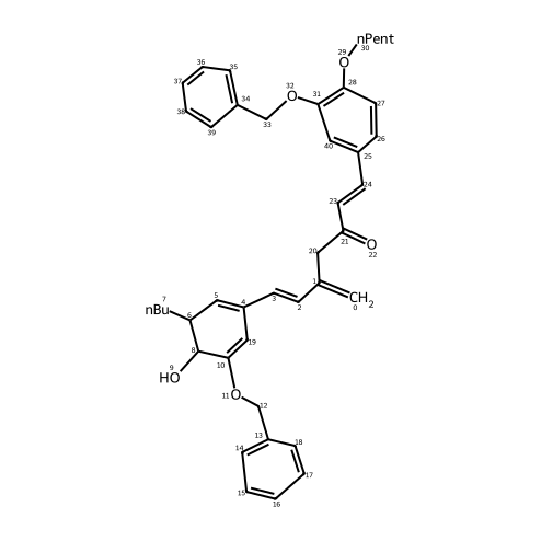 C=C(/C=C/C1=CC(CCCC)C(O)C(OCc2ccccc2)=C1)CC(=O)/C=C/c1ccc(OCCCCC)c(OCc2ccccc2)c1